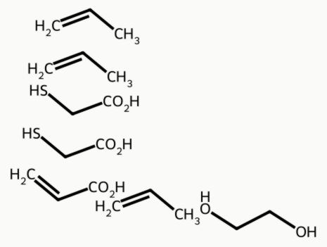 C=CC.C=CC.C=CC.C=CC(=O)O.O=C(O)CS.O=C(O)CS.OCCO